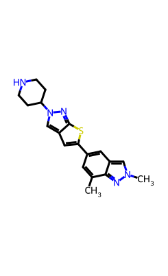 Cc1cc(-c2cc3cn(C4CCNCC4)nc3s2)cc2cn(C)nc12